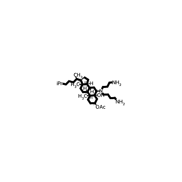 CC(=O)O[C@H]1CC[C@]2(C)[C@H]3CC[C@]4(C)[C@@H]([C@H](C)CCCC(C)C)CC[C@H]4[C@@H]3C[C@@H](N(CCCN)CCCCN)[C@@]2(O)C1